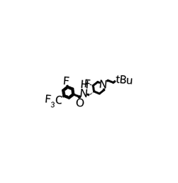 CC(C)(C)CCN1CC[C@H](CNC(=O)c2cc(F)cc(C(F)(F)F)c2)[C@H](F)C1